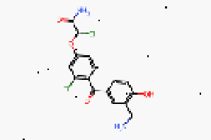 NCc1cc(C(=O)c2ccc(OC(Cl)C(N)=O)cc2Cl)ccc1O